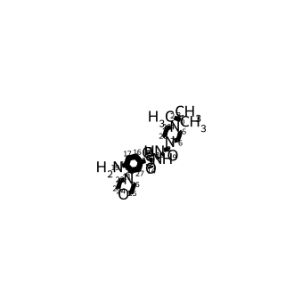 CC(C)(C)N1CCN(C(=O)NNS(=O)(=O)c2ccc(N)c(N3CCOCC3)c2)CC1